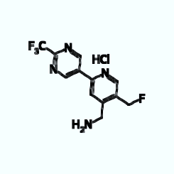 Cl.NCc1cc(-c2cnc(C(F)(F)F)nc2)ncc1CF